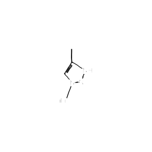 CC1=CN(C(C)C)NN1